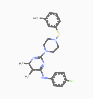 COc1cccc(SN2CCN(C3=NC(C)C(C)C(Nc4ccc(F)cc4)=N3)CC2)c1